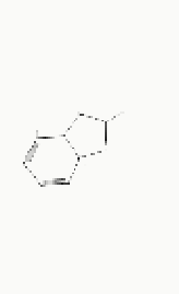 O=CC1CC2C=CC=CC2S1